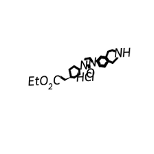 CCOC(=O)CC[C@H]1CC[C@H](N2CCN(c3ccc4c(c3)CCNCC4)C2=O)CC1.Cl